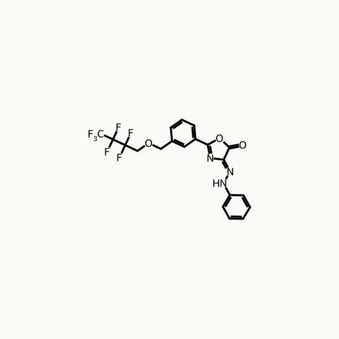 O=C1OC(c2cccc(COCC(F)(F)C(F)(F)C(F)(F)F)c2)=NC1=NNc1ccccc1